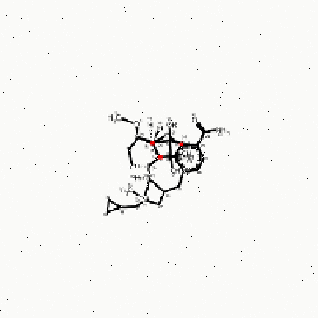 CO[C@]12CC[C@]3(C[C@@H]1C(C)(O)C(C)(C)C)C1c4c(ccc(C(N)=O)c4O[C@H]12)CC1C[N@+](C)(CC2CC2)[C@H]13